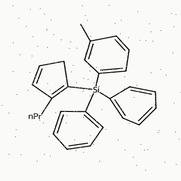 CCCC1=C([Si](c2ccccc2)(c2ccccc2)c2cccc(C)c2)CC=C1